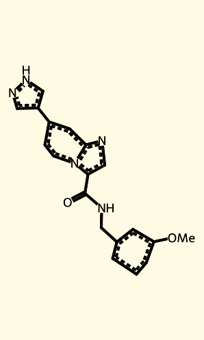 COc1cccc(CNC(=O)c2cnc3cc(-c4cn[nH]c4)ccn23)c1